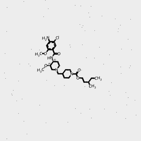 CCC(C)CCOC(=O)N1CCC(CN2CC[C@H](NC(=O)c3cc(Cl)c(N)cc3OC)[C@H](OC)C2)CC1